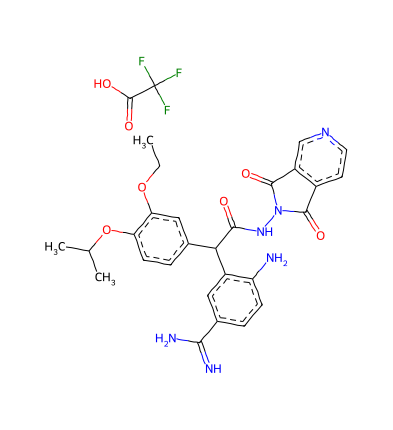 CCOc1cc(C(C(=O)NN2C(=O)c3ccncc3C2=O)c2cc(C(=N)N)ccc2N)ccc1OC(C)C.O=C(O)C(F)(F)F